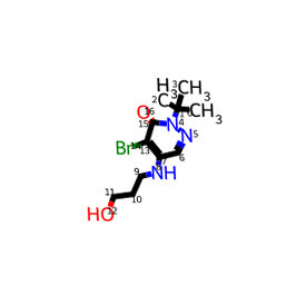 CC(C)(C)n1ncc(NCCCO)c(Br)c1=O